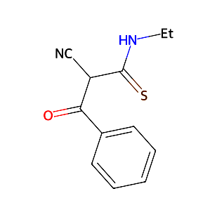 CCNC(=S)C(C#N)C(=O)c1ccccc1